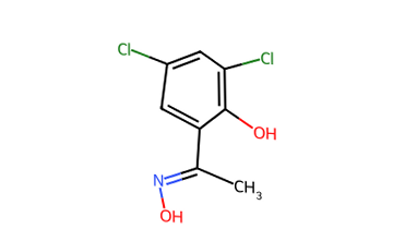 C/C(=N\O)c1cc(Cl)cc(Cl)c1O